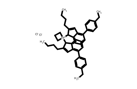 CCCCC1=Cc2c(-c3ccc(CC)cc3)cccc2[CH]1[Hf+2]1([CH]2C(CCCC)=Cc3c(-c4ccc(CC)cc4)cccc32)[CH2]C[CH2]1.[Cl-].[Cl-]